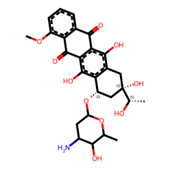 COc1cccc2c1C(=O)c1c(O)c3c(c(O)c1C2=O)C[C@@](O)([C@H](C)O)C[C@@H]3OC1CC(N)C(O)C(C)O1